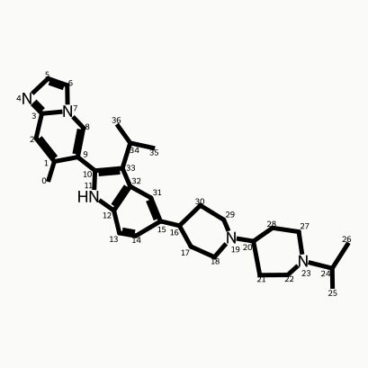 Cc1cc2nccn2cc1-c1[nH]c2ccc(C3CCN(C4CCN(C(C)C)CC4)CC3)cc2c1C(C)C